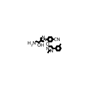 Cc1cccc(-c2cc(Oc3cc(C#N)ccc3-n3cc([C@H](O)CN)cn3)nc(C)n2)c1